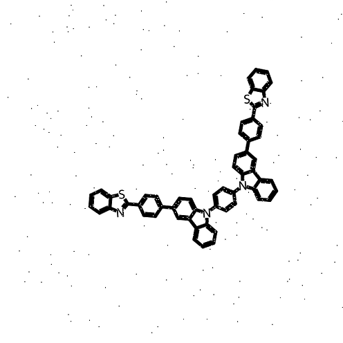 c1ccc2sc(-c3ccc(-c4ccc5c(c4)c4ccccc4n5-c4ccc(-n5c6ccccc6c6cc(-c7ccc(-c8nc9ccccc9s8)cc7)ccc65)cc4)cc3)nc2c1